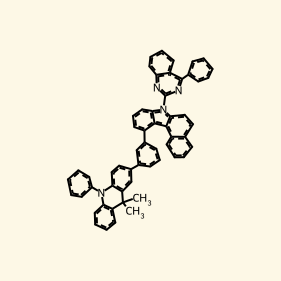 CC1(C)c2ccccc2N(c2ccccc2)c2ccc(-c3cccc(-c4cccc5c4c4c6ccccc6ccc4n5-c4nc(-c5ccccc5)c5ccccc5n4)c3)cc21